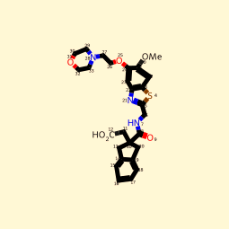 COc1cc2sc(CNC(=O)C3(CC(=O)O)Cc4ccccc4C3)nc2cc1OCCN1CCOCC1